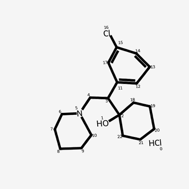 Cl.OC1(C(CN2CCCCC2)c2cccc(Cl)c2)CCCCC1